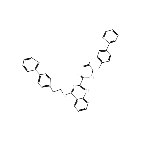 O=C(N[C@@H](Cc1ccc(-c2ccccc2)cc1)C(=O)O)c1nc(NCCc2ccc(-c3ccccc3)cc2)c2ccccc2n1